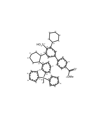 COC(=O)c1ccc(-c2cc(C3CCCCC3)c(S(=O)(=O)O)c(C3CCCCC3c3cccc(S(C)(c4ccccc4)c4ccccc4)c3)c2)cc1